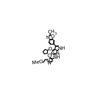 COCCn1ncc(Nc2nc(OC3CCCC3)c3c(-c4ccc5nc(C)oc5c4)c[nH]c3n2)c1Cl